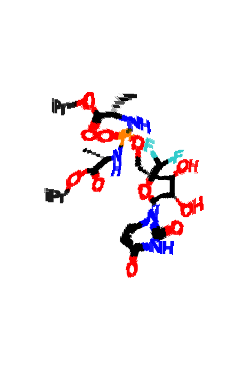 CC(C)OC(=O)[C@H](C)NP(=O)(N[C@@H](C)C(=O)OC(C)C)OC[C@@]1(C(F)F)O[C@@H](n2ccc(=O)[nH]c2=O)[C@@H](O)[C@@H]1O